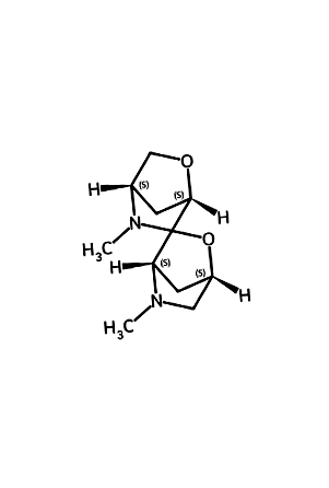 CN1C[C@@H]2C[C@H]1C1(O2)[C@@H]2C[C@@H](CO2)N1C